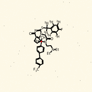 [2H]c1c([2H])c(C([2H])([2H])Sc2nc(=O)c3c(n2CC(=O)N(CCN(CC)CC)C([2H])(C)c2ccc(-c4ccc(C(F)(F)F)cc4)cc2)CCC3)c([2H])c([2H])c1F